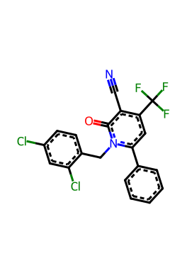 N#Cc1c(C(F)(F)F)cc(-c2ccccc2)n(Cc2ccc(Cl)cc2Cl)c1=O